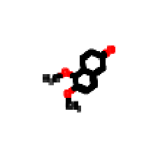 COC1=CC=C2CC(=O)CCC2C1OC